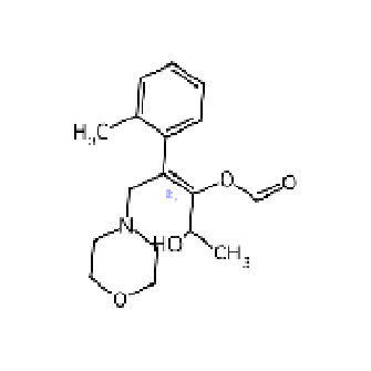 Cc1ccccc1/C(CN1CCOCC1)=C(\OC=O)C(C)O